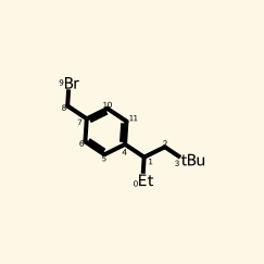 CCC(CC(C)(C)C)c1ccc(CBr)cc1